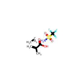 C=C(C)C(=O)O.CC.NS(=O)(=O)C(F)(F)F